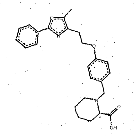 Cc1oc(-c2ccccc2)nc1CCOc1ccc(CN2CCCC[C@@H]2C(=O)O)cc1